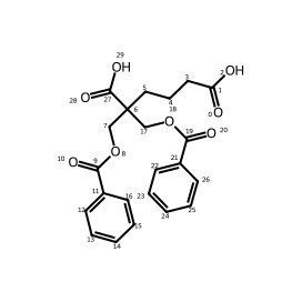 O=C(O)CCCC(COC(=O)c1ccccc1)(COC(=O)c1ccccc1)C(=O)O